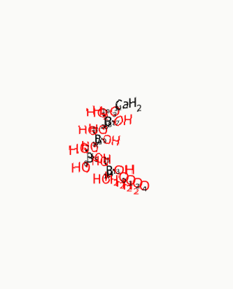 O.O.O.O.O.OB(O)O.OB(O)O.OB(O)O.OB(O)O.[CaH2]